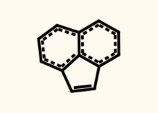 [C]1=Cc2cccc3cccc1c23